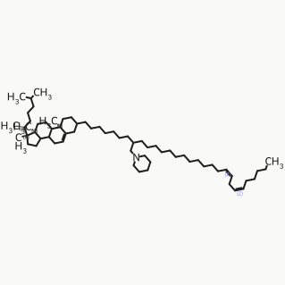 CCCCC/C=C\C/C=C\CCCCCCCCCCCCC(CCCCCCCC1CC[C@@]2(C)C(=CCC3C2CC[C@@]2(C)C3CC[C@]2(C)[C@H](C)CCCC(C)C)C1)CN1CCCCC1